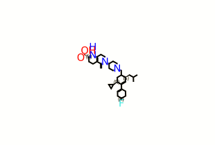 C=C1C2=C(CCN1C1CCN(CC3C[C@H](C4CC4)C(C4=CC[C@H](F)CC4)=C[C@@H]3CC(C)C)CC1)N[C@@H](C(=O)O)CC2